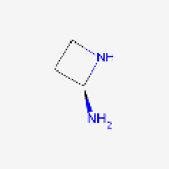 N[C@H]1CCN1